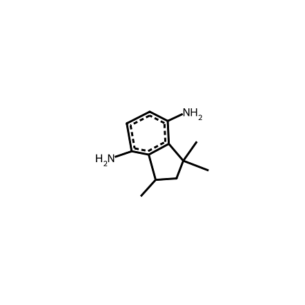 CC1CC(C)(C)c2c(N)ccc(N)c21